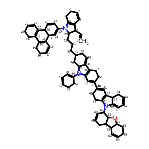 C=CC1C2=C(CCC=C2)N(C2=CC3C4=C(CCC=C4)C4=C(C=CCC4)C3C=C2)C1CCCC1CC=C2C3=C(C=C(C4=CC5=C(CC4)N(C4C=CCC6C7C=CCCC7OC64)C4=CC=CCC45)CC3)N(C3=CC=CCC3)C2C1